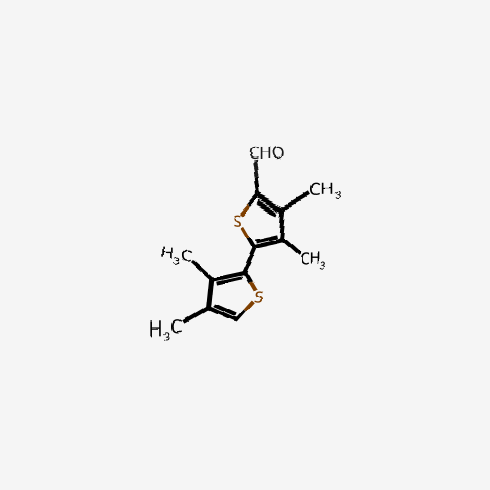 Cc1csc(-c2sc(C=O)c(C)c2C)c1C